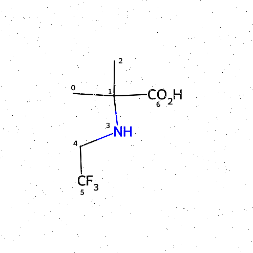 CC(C)(NCC(F)(F)F)C(=O)O